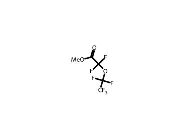 COC(=O)C(F)(F)OC(F)(F)C(F)(F)F